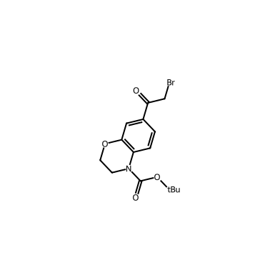 CC(C)(C)OC(=O)N1CCOc2cc(C(=O)CBr)ccc21